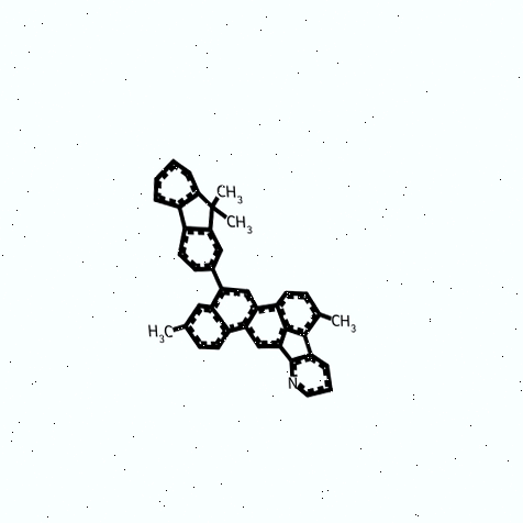 Cc1ccc2c(c1)c(-c1ccc3c(c1)C(C)(C)c1ccccc1-3)cc1c3ccc(C)c4c3c(cc21)-c1ncccc1-4